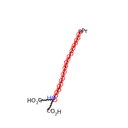 CCCOCCOCCOCCOCCOCCOCCOCCOCCOCCOCCOCCOCCOCCOCCOCCOCCOCCOCCOCCOCCOCCOCCOCCNC(=O)C(CCCCCCCCCCC(=O)O)CCCCCCCCCCC(=O)O